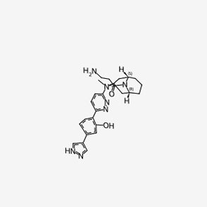 CN(c1ccc(-c2ccc(-c3cn[nH]c3)cc2O)nn1)[C@@H]1C[C@H]2CCC[C@@H](C1)N2C(=O)CCN